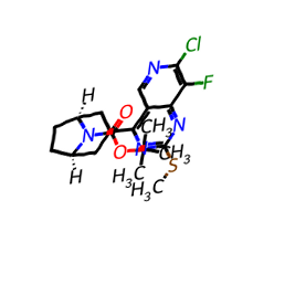 CSc1nc(C2C[C@H]3CC[C@@H](C2)N3C(=O)OC(C)(C)C)c2cnc(Cl)c(F)c2n1